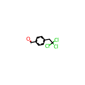 O=[C]c1ccc(CC(Cl)(Cl)Cl)cc1